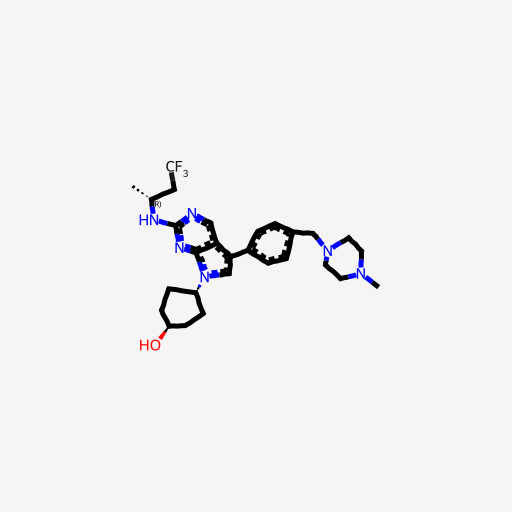 C[C@H](CC(F)(F)F)Nc1ncc2c(-c3ccc(CN4CCN(C)CC4)cc3)cn([C@H]3CC[C@H](O)CC3)c2n1